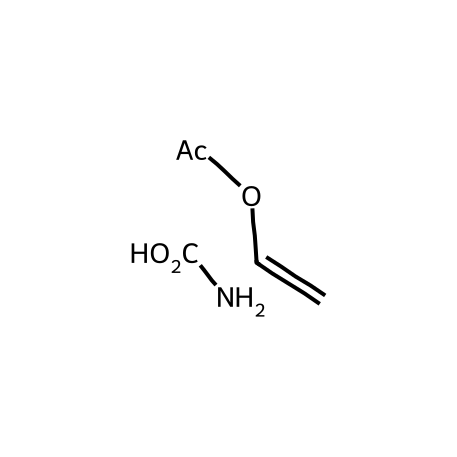 C=COC(C)=O.NC(=O)O